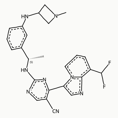 C[C@H](Nc1ncc(C#N)c(-c2cnc3c(C(F)F)cccn23)n1)c1cccc(NC2CN(C)C2)c1